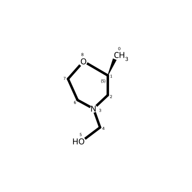 C[C@H]1CN(CO)CCO1